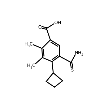 Cc1c(C(=O)O)cc(C(N)=S)c(C2CCC2)c1C